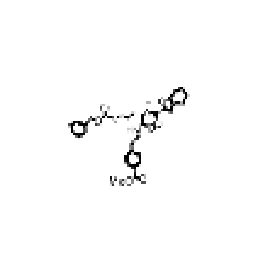 COC(=O)c1ccc(CCNC(=O)[C@H](CCCNC(=O)OCc2ccccc2)NC(=O)c2cc3ccccc3o2)cc1